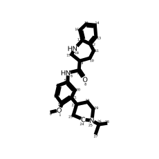 COc1ccc(NC(=O)C2CCc3ccccc3NC2)cc1C1CCN(C(C)C)CC1